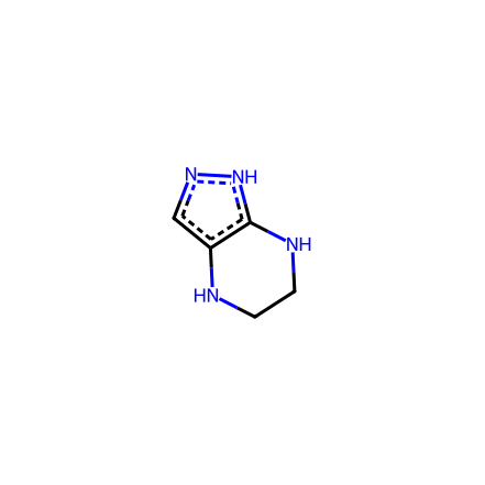 c1n[nH]c2c1NCCN2